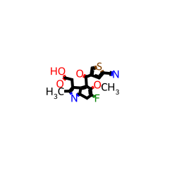 COC1=C(F)CC2=NC(C)=C(CC(=O)O)C2=C1C(=O)c1csc(C#N)c1